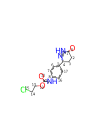 O=C1CCC(c2ccc(NC(=O)OCCCl)cc2)=NN1